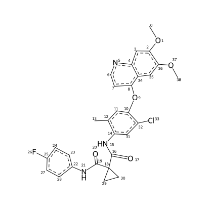 COc1cc2nccc(Oc3cc(C)c(NC(=O)C4(C(=O)Nc5ccc(F)cc5)CC4)cc3Cl)c2cc1OC